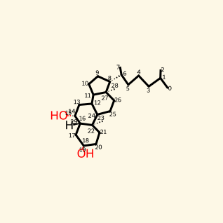 CC(C)CCCC(C)[C@H]1CCC2C3C[C@@H](O)[C@H]4C[C@@H](O)CC[C@]4(C)C3CC[C@@]21C